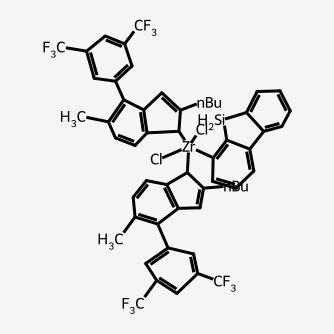 CCCCC1=Cc2c(ccc(C)c2-c2cc(C(F)(F)F)cc(C(F)(F)F)c2)[CH]1[Zr]([Cl])([Cl])([c]1cccc2c1[SiH2]c1ccccc1-2)[CH]1C(CCCC)=Cc2c1ccc(C)c2-c1cc(C(F)(F)F)cc(C(F)(F)F)c1